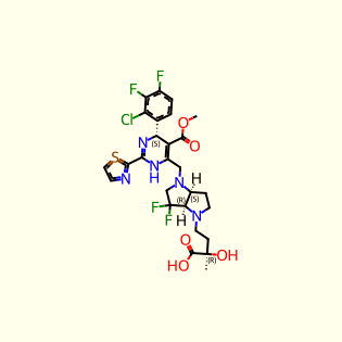 COC(=O)C1=C(CN2CC(F)(F)[C@H]3[C@@H]2CCN3CC[C@@](C)(O)C(=O)O)NC(c2nccs2)=N[C@@H]1c1ccc(F)c(F)c1Cl